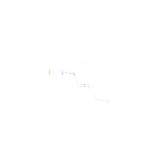 NC(=O)C=CCF